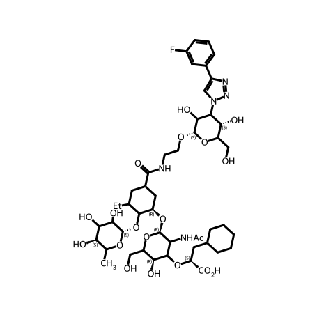 CCC1CC(C(=O)NCCO[C@H]2OC(CO)[C@@H](O)C(n3cc(-c4cccc(F)c4)nn3)C2O)C[C@@H](O[C@@H]2OC(CO)[C@H](O)C(O[C@@H](CC3CCCCC3)C(=O)O)C2NC(C)=O)C1O[C@@H]1OC(C)[C@@H](O)C(O)C1O